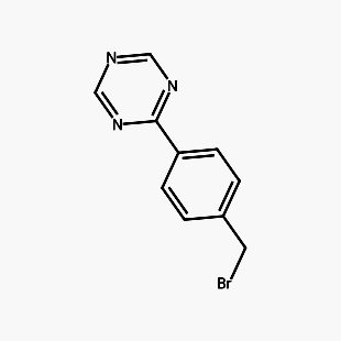 BrCc1ccc(-c2ncncn2)cc1